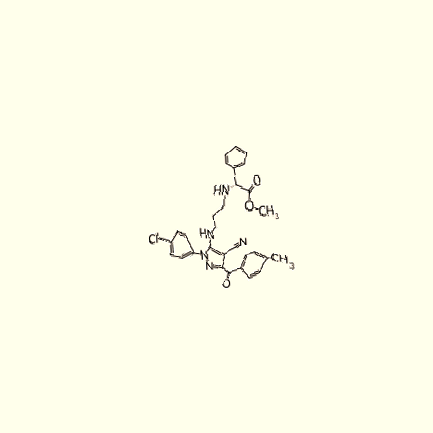 COC(=O)[C@H](NCCCNc1c(C#N)c(C(=O)c2ccc(C)cc2)nn1-c1ccc(Cl)cc1)c1ccccc1